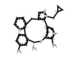 Cc1ccc2c(c1)[C@@H](C)Oc1cc(cnc1N)-c1c(cnn1CC1CC1)Cc1cccnc1-2